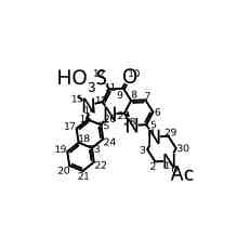 CC(=O)N1CCN(c2ccc3c(=O)c(S(=O)(=O)O)c4n(C)c5cc6ccccc6cc5n4c3n2)CC1